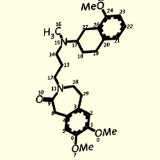 COc1cc2c(cc1OC)CC(=O)N(CCCN(C)C1CCc3cccc(OC)c3C1)CC2